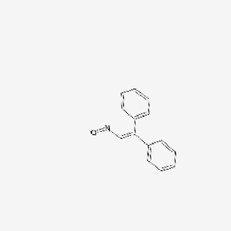 O=NC=C(c1ccccc1)c1ccccc1